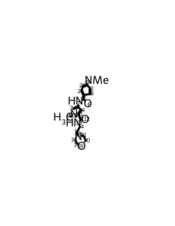 CNc1ccc(C(=O)Nc2cc(C(=O)NCCN3CCOCC3)n(C)c2)cc1